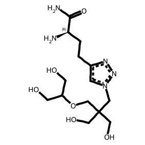 NC(=O)[C@H](N)CCc1cn(CC(CO)(CO)COC(CO)CO)nn1